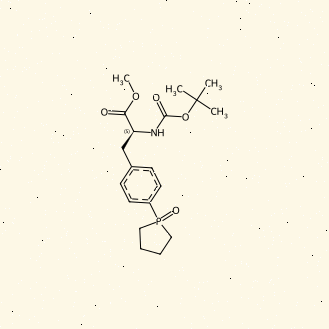 COC(=O)[C@H](Cc1ccc(P2(=O)CCCC2)cc1)NC(=O)OC(C)(C)C